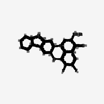 CCOC(=O)c1cn2c3c(c(F)c(F)cc3c1=O)Oc1cc3c(cc1-2)oc1ccccc13